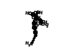 CCCCCCCOc1ccc(-c2cnc(-c3ccc(C[C@H](NC(=O)c4ccc(C(C)(C)C)s4)C(=O)NC(CC(=O)O)c4ccc(O)cc4)cc3)nc2)cc1